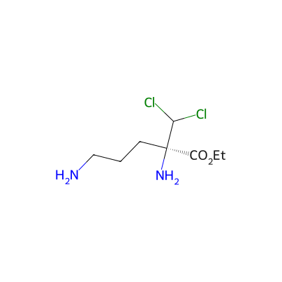 CCOC(=O)[C@](N)(CCCN)C(Cl)Cl